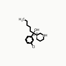 CCCCC[C@@](O)(c1cccc(Cl)c1)[C@@H]1CCCNC1